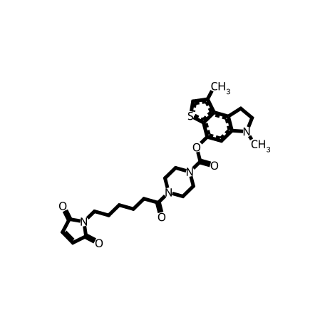 Cc1csc2c(OC(=O)N3CCN(C(=O)CCCCCN4C(=O)C=CC4=O)CC3)cc3c(c12)CCN3C